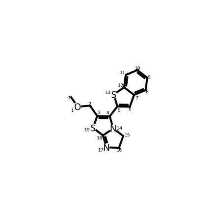 COCC1=C(c2cc3ccccc3s2)N2CCN=C2S1